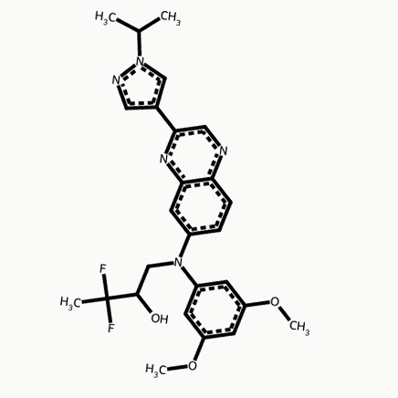 COc1cc(OC)cc(N(CC(O)C(C)(F)F)c2ccc3ncc(-c4cnn(C(C)C)c4)nc3c2)c1